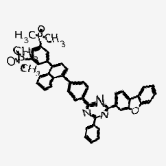 CP(C)(=O)c1cc(-c2ccc(-c3ccc(-c4nc(-c5ccccc5)nc(-c5ccc6c(c5)oc5ccccc56)n4)cc3)c3ccccc23)cc(P(C)(C)=O)c1